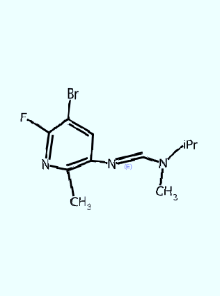 Cc1nc(F)c(Br)cc1/N=C/N(C)C(C)C